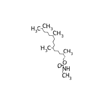 CCNC(=O)OCCC(C)CCCC(C)CCCC(C)CCCC(C)C